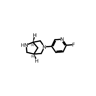 Fc1ccc(N2C[C@@H]3CN[C@@H](C3)C2)cn1